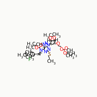 CCCSc1nc(N(C(=O)OC(C)(C)C)[C@@H]2C[C@H]2c2cc[c]([Sn]([CH3])([CH3])[CH3])c(F)c2)c2nnn([C@@H]3C[C@H](OCCOC(=O)OC(C)(C)C)[C@H]4OC(C)(C)O[C@H]43)c2n1